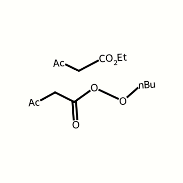 CCCCOOC(=O)CC(C)=O.CCOC(=O)CC(C)=O